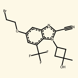 CC1(O)CC(n2c(C#N)nc3cc(OCCBr)cc(C(F)(F)F)c32)C1